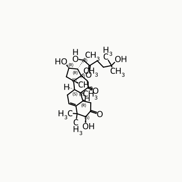 CC(C)(O)CCC(=O)[C@](C)(O)[C@H]1[C@H](O)C[C@@]2(C)[C@@H]3CC=C4[C@@H](CC(=O)[C@@H](O)C4(C)C)[C@]3(C)C(=O)C[C@]12C